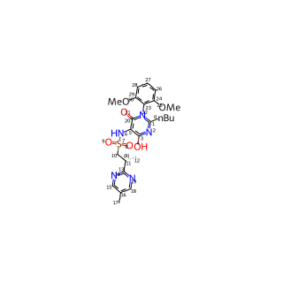 CCCCc1nc(O)c(NS(=O)(=O)C[C@H](C)c2ncc(C)cn2)c(=O)n1-c1c(OC)cccc1OC